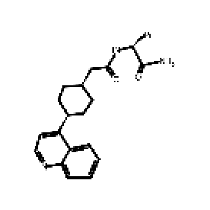 CC(C)[C@H](NC(=O)C[C@H]1CC[C@@H](c2ccnc3ccccc32)CC1)C(N)=O